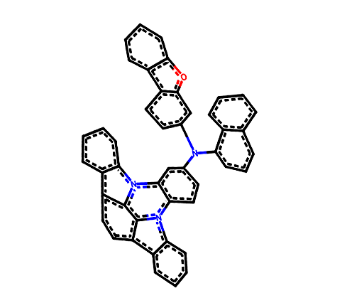 c1ccc2c(N(c3ccc4c(c3)oc3ccccc34)c3ccc4c(c3)n3c5ccccc5c5ccc6c7ccccc7n4c6c53)cccc2c1